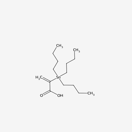 C=[C](C(=O)O)[Sn]([CH2]CCC)([CH2]CCC)[CH2]CCC